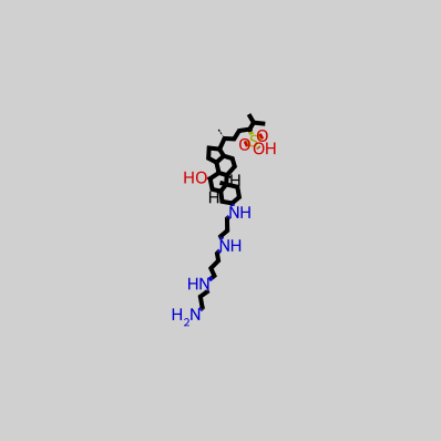 CC(C)C(CC[C@@H](C)C1CCC2C1CC[C@H]1C2[C@H](O)C[C@H]2CC(NCCCNCCCCNCCCN)CCC21C)S(=O)(=O)O